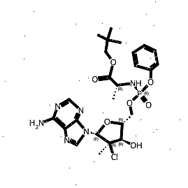 C[C@@H](N[P@@](=O)(OC[C@H]1O[C@@H](n2cnc3c(N)ncnc32)[C@](C)(Cl)[C@@H]1O)Oc1ccccc1)C(=O)OCC(C)(C)C